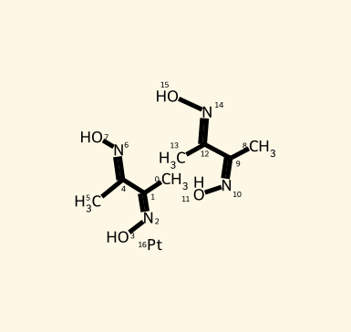 CC(=NO)C(C)=NO.CC(=NO)C(C)=NO.[Pt]